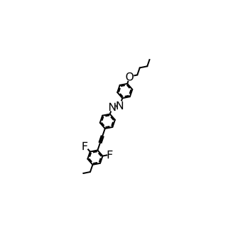 CCCCOc1ccc(N=Nc2ccc(C#Cc3c(F)cc(CC)cc3F)cc2)cc1